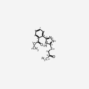 COC(=O)c1ccccc1-c1nnc(SCC(C)=O)[nH]1